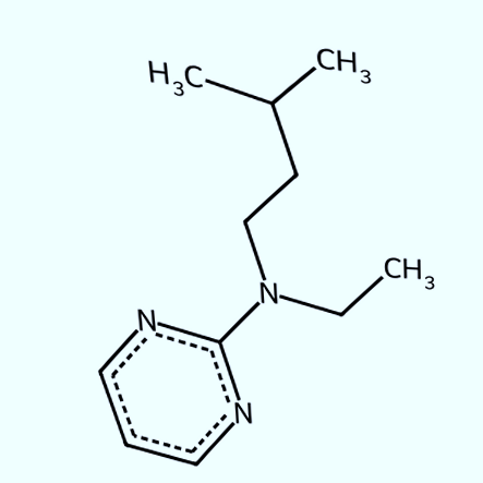 CCN(CCC(C)C)c1ncccn1